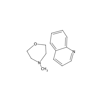 CN1CCOCC1.c1ccc2ncccc2c1